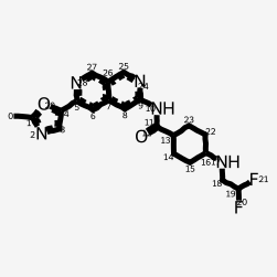 Cc1ncc(-c2cc3cc(NC(=O)C4CCC(NCC(F)F)CC4)ncc3cn2)o1